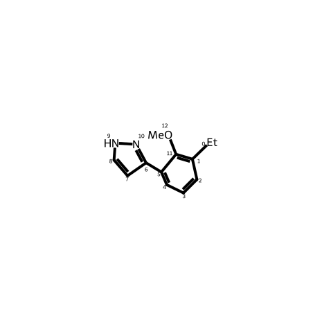 CCc1cccc(-c2cc[nH]n2)c1OC